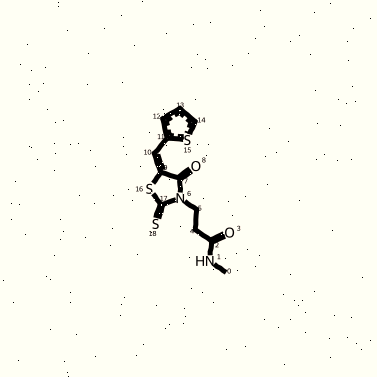 CNC(=O)CCN1C(=O)/C(=C\c2cccs2)SC1=S